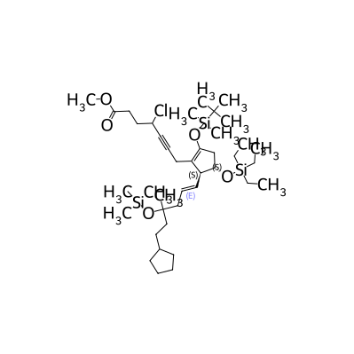 CC[Si](CC)(CC)O[C@H]1CC(O[Si](C)(C)C(C)(C)C)=C(CC#CC(Cl)CCC(=O)OC)[C@@H]1/C=C/CC(C)(CCC1CCCC1)O[Si](C)(C)C